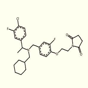 CC(c1ccc(Cl)c(F)c1)N(Cc1ccc(OCCN2C(=O)CCC2=O)c(F)c1)CC1CCCCC1